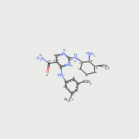 Cc1cc(C)cc(Nc2nc(N[C@@H]3CCC[C@H](C)[C@@H]3N)ncc2C(N)=O)c1